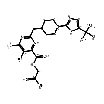 Cc1nc(CC2CCN(c3ncc(C(C)(C)C)s3)CC2)nc(C(=O)NCC(=O)O)c1O